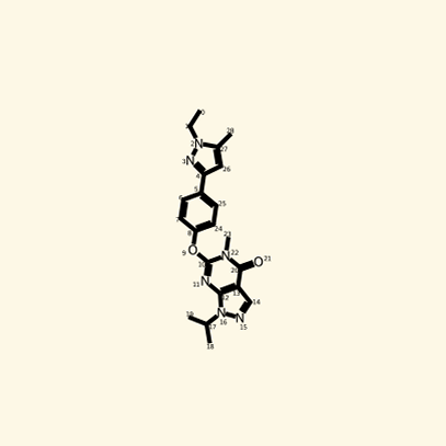 CCn1nc(-c2ccc(Oc3nc4c(cnn4C(C)C)c(=O)n3C)cc2)cc1C